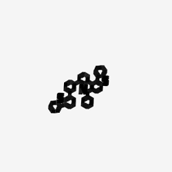 c1ccc(-c2nc3c(-c4cccc(-c5cccc6c5sc5ccccc56)c4)cccc3c3c2ccc2sc4ccccc4c23)cc1